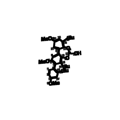 COc1ccc(-c2c(OC)cc3c(op(O)oc4c(C(C)(C)C)cc(OC)cc43)c2C(C)(C)C)c(C(C)(C)C)c1